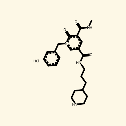 CNC(=O)c1cc(C(=O)NCCCC2CCNCC2)cn(Cc2ccccc2)c1=O.Cl